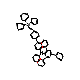 C(=C\[Si](c1ccccc1)(c1ccccc1)c1ccccc1)/c1ccc(-c2ccc(N(c3ccccc3)c3c(-c4ccccc4)cc(-c4ccccc4)cc3-c3ccccc3)cc2)cc1